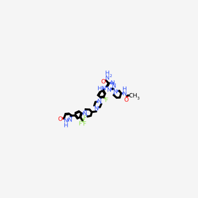 CC(=O)NC1CCCN(c2nnc(C(N)=O)c(Nc3ccc(N4CCN(CC5CCN(c6ccc(-c7ccc(=O)[nH]n7)cc6C(F)(F)F)CC5)CC4)c(F)c3)n2)C1